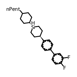 CCCCCC1CCC([Si@H]2CC[C@H](c3ccc(-c4ccc(F)c(F)c4)cc3)CC2)CC1